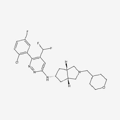 Fc1ccc(Cl)c(-c2nnc(N[C@@H]3C[C@@H]4CN(CC5CCOCC5)C[C@@H]4C3)cc2C(F)F)c1